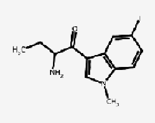 CCC(N)C(=O)c1cn(C)c2ccc(I)cc12